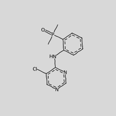 CP(C)(=O)c1ccccc1Nc1ncncc1Cl